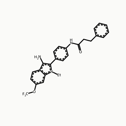 CCn1c(-c2ccc(NC(=O)CCc3ccccc3)cc2)c(N)c2ccc(OC(F)(F)F)cc21